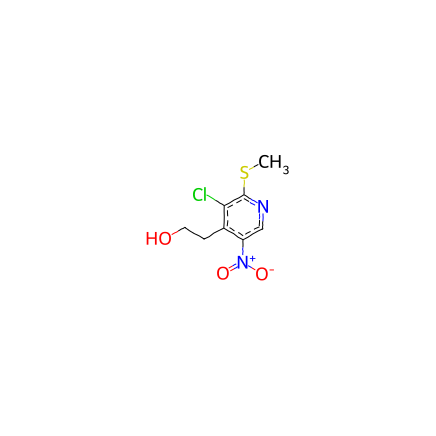 CSc1ncc([N+](=O)[O-])c(CCO)c1Cl